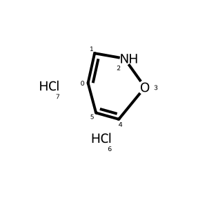 C1=CNOC=C1.Cl.Cl